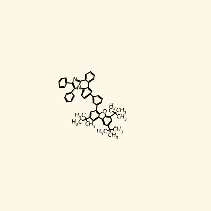 CC(C)(C)c1cc(-c2cccc(-c3ccc4c(c3)c3ccccc3c3nc(-c5ccccc5)c(-c5ccccc5)n43)c2)c2oc3c(C(C)(C)C)cc(C(C)(C)C)cc3c2c1